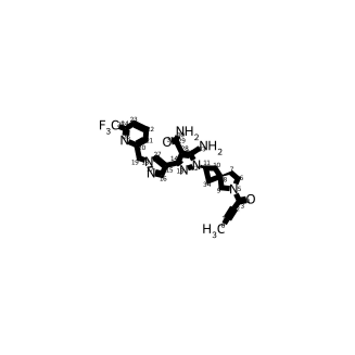 CC#CC(=O)N1CC[C@]2(C1)C[C@H](n1nc(-c3cnn(Cc4cccc(C(F)(F)F)n4)c3)c(C(N)=O)c1N)C2